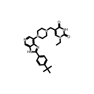 CCn1cc(CN2CCN(c3cncc4[nH]c(-c5ccc(C(C)(C)C)cc5)nc34)CC2)c(=O)[nH]c1=O